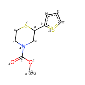 CC(C)(C)OC(=O)N1CCSC(c2cccs2)C1